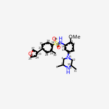 COc1ccc(N2CC(C)NC(C)C2)cc1NS(=O)(=O)c1ccc(-c2ccoc2)cc1C